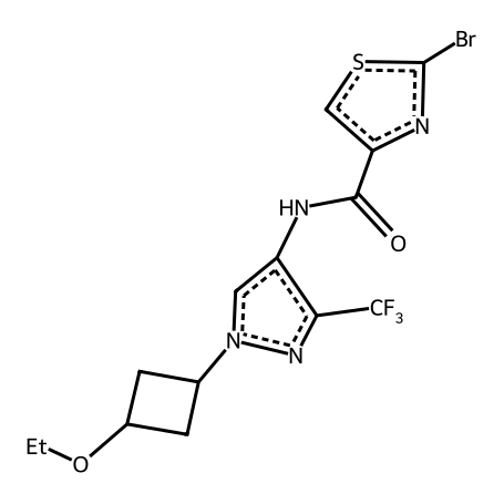 CCOC1CC(n2cc(NC(=O)c3csc(Br)n3)c(C(F)(F)F)n2)C1